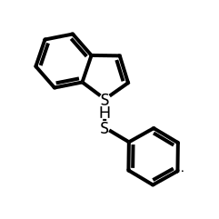 [c]1ccc(S[SH]2C=Cc3ccccc32)cc1